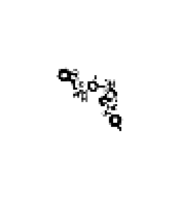 Cc1ccc(S(=O)(=O)n2ccc3c2ncc2nnc([C@H]4C[C@@H](NS(=O)(=O)Cc5noc6ccccc56)C[C@H]4C)n23)cc1